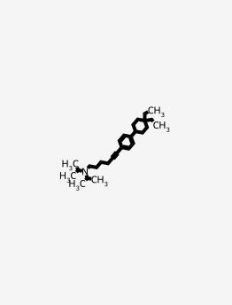 CCC1(CC)CCC(c2ccc(C#CCCCCN(C(C)C)C(C)C)cc2)CC1